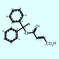 CC(OC(=O)/C=C/C(=O)O)(c1ccccc1)c1ccccc1